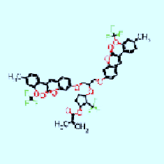 C=C(C)C(=O)OC1CCC(OC(COc2ccc3cc(-c4ccc(C)cc4OC(F)(F)F)c(=O)oc3c2)COc2ccc3cc(-c4ccc(C)cc4OC(F)(F)F)c(=O)oc3c2)C1C(F)(F)F